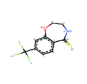 FC(F)(F)c1ccc2c(c1)OCCNC2=S